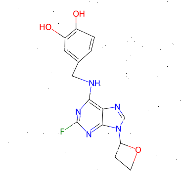 Oc1ccc(CNc2nc(F)nc3c2ncn3C2CCO2)cc1O